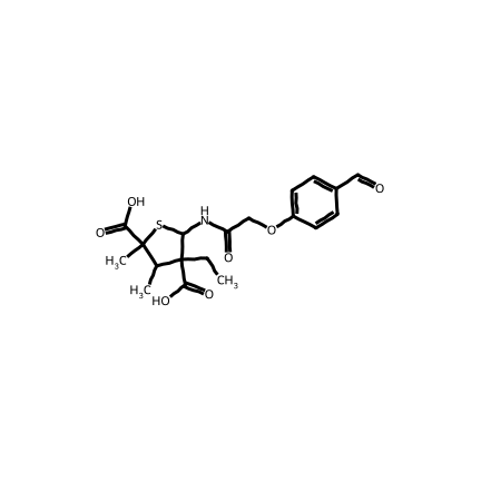 CCC1(C(=O)O)C(NC(=O)COc2ccc(C=O)cc2)SC(C)(C(=O)O)C1C